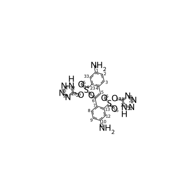 Nc1ccc(C=Cc2ccc(N)cc2S(=O)(=O)Oc2nnn[nH]2)c(S(=O)(=O)Oc2nnn[nH]2)c1